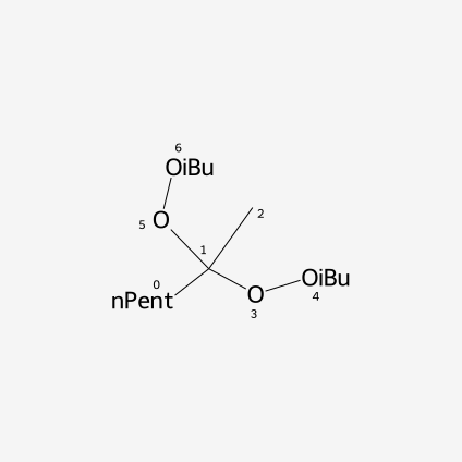 CCCCCC(C)(OOCC(C)C)OOCC(C)C